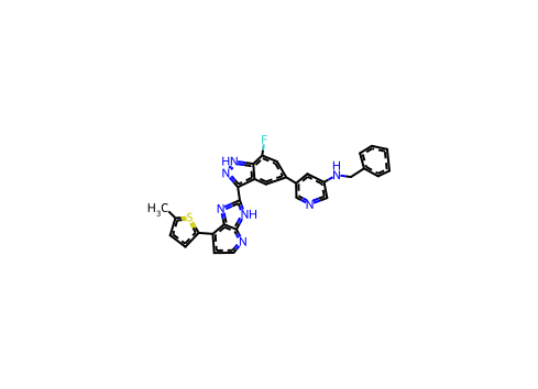 Cc1ccc(-c2ccnc3[nH]c(-c4n[nH]c5c(F)cc(-c6cncc(NCc7ccccc7)c6)cc45)nc23)s1